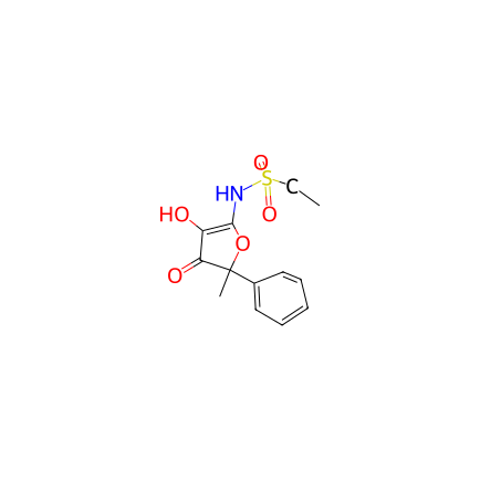 CCS(=O)(=O)NC1=C(O)C(=O)C(C)(c2ccccc2)O1